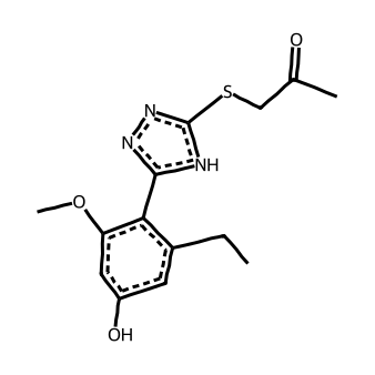 CCc1cc(O)cc(OC)c1-c1nnc(SCC(C)=O)[nH]1